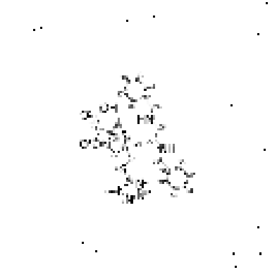 Cn1nnnc1SCC1(C)CN2C(=O)C(C(=O)O)[C@H]2S1.c1ccc(CNCCNCc2ccccc2)cc1